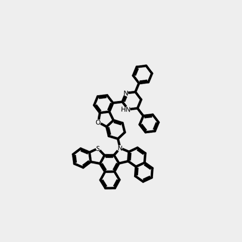 C1=CC(C2CC(c3ccccc3)NC(c3cccc4oc5c(c34)=CCC(n3c4ccc6ccccc6c4c4c6ccccc6c6c7ccccc7sc6c43)C=5)=N2)=CCC1